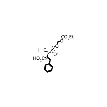 CCOC(=O)OCON=[N+]([O-])N(C)[C@@H](Cc1ccccc1)C(=O)O